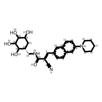 N#C/C(=C\c1ccc2cc(N3CCCCC3)ccc2c1)C(=O)NC[C@H]1CC(O)C(O)C(O)C1O